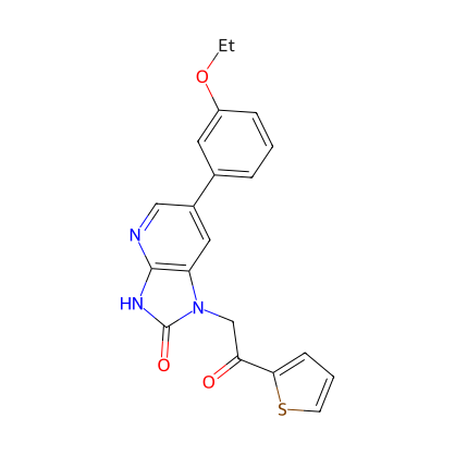 CCOc1cccc(-c2cnc3[nH]c(=O)n(CC(=O)c4cccs4)c3c2)c1